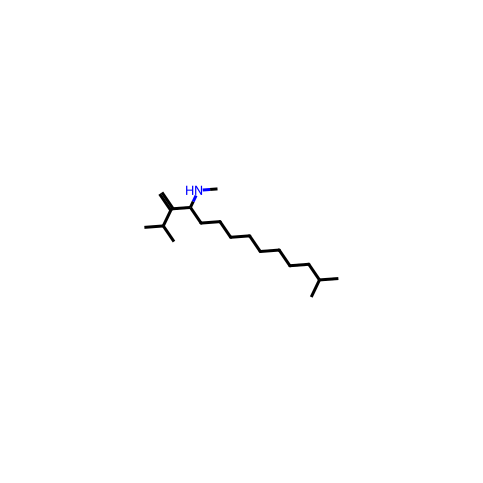 C=C(C(C)C)C(CCCCCCCCC(C)C)NC